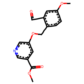 COC(=O)c1cncc(OCc2ccc(OC)cc2C=O)c1